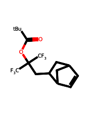 CC(C)(C)C(=O)OC(CC1CC2C=CC1C2)(C(F)(F)F)C(F)(F)F